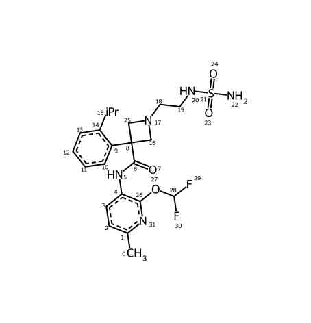 Cc1ccc(NC(=O)C2(c3ccccc3C(C)C)CN(CCNS(N)(=O)=O)C2)c(OC(F)F)n1